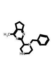 Cc1nc(C2CNCCN2Cc2ccccc2)nc2c1CCC2